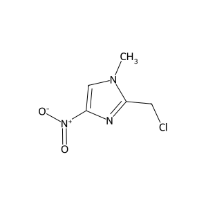 Cn1cc([N+](=O)[O-])nc1CCl